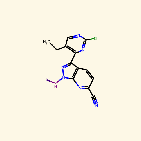 CCc1cnc(Cl)nc1-c1nn(PI)c2nc(C#N)ccc12